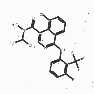 CC(C)N(C)C(=O)c1cnc(Nc2cccc(F)c2C(F)(F)F)c2cccc(Cl)c12